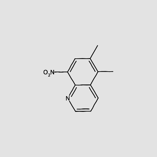 Cc1cc([N+](=O)[O-])c2ncccc2c1C